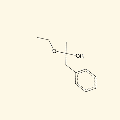 CCOC(C)(O)Cc1ccccc1